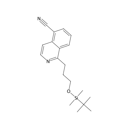 CC(C)(C)[Si](C)(C)OCCCc1nccc2c(C#N)cccc12